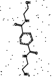 NCCNC(=O)c1ccc(C(=O)NCCO)cc1